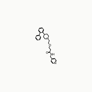 O=C(CCOCCN1CCC(c2ccccc2-c2ccccc2)CC1)NCc1ccncc1